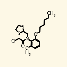 CCCCCCOc1cccc(C)c1N(CC1SCCS1)C(=O)CCl